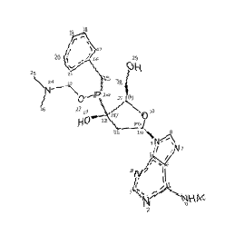 CC(=O)Nc1ncnc2c1ncn2[C@H]1C[C@](O)(P(Cc2ccccc2)OCN(C)C)[C@@H](CO)O1